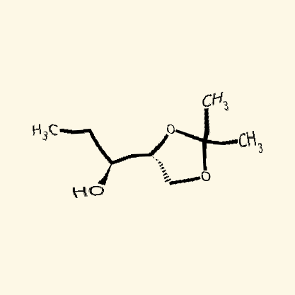 CC[C@H](O)[C@H]1COC(C)(C)O1